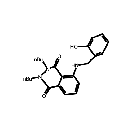 CCCCn1c(=O)c2cccc(NCc3ccccc3O)c2c(=O)n1CCCC